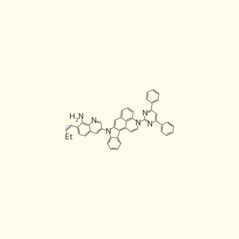 CC/C=C\c1ccc2cc(-n3c4ccccc4c4c5c6c(cccc6cc43)N(c3nc(-c4ccccc4)cc(-c4ccccc4)n3)C=C5)cnc2c1N